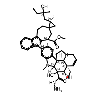 CC[C@](C)(O)C[C@@]1(C)CC12CCc1c([nH]c3ccccc13)[C@@](C(=O)OC)(c1cc3c(cc1OC)N(C)[C@H]1[C@@](O)(C(=O)NN)[C@H](O)[C@]4(CC)C=CCN5CC[C@]31[C@@H]54)C2